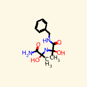 CC(O)([N]C(C)(O)C(=O)NCc1ccccc1)C(N)=O